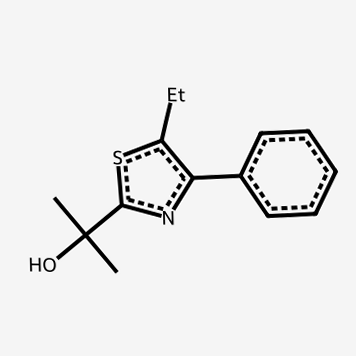 CCc1sc(C(C)(C)O)nc1-c1ccccc1